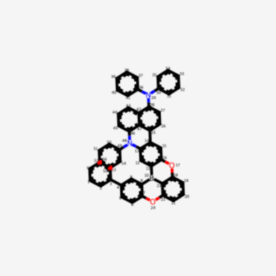 c1ccc(-c2ccc3c(c2)B2c4cc5c(cc4Oc4cccc(c42)O3)-c2ccc(N(c3ccccc3)c3ccccc3)c3cccc(c23)N5c2ccccc2)cc1